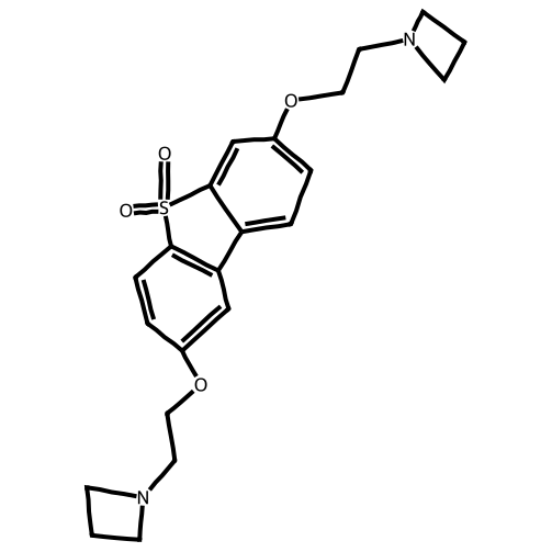 O=S1(=O)c2ccc(OCCN3CCC3)cc2-c2ccc(OCCN3CCC3)cc21